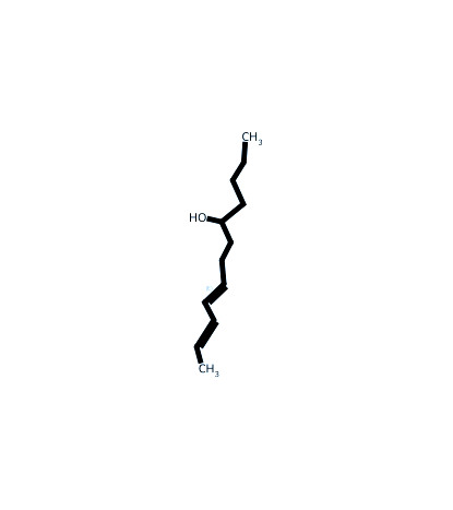 CC=C/C=C/CCC(O)CCCC